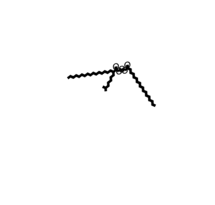 CCCCCCCCCCCCCCCCCC(=O)OOOC(=O)C(CCCCCCCCCCCCCCCC)CCCCCC(C)C